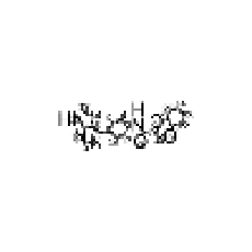 O=C(Nc1ccc(-c2ncnc3[nH]ccc23)cc1)C1COc2ccccc2O1